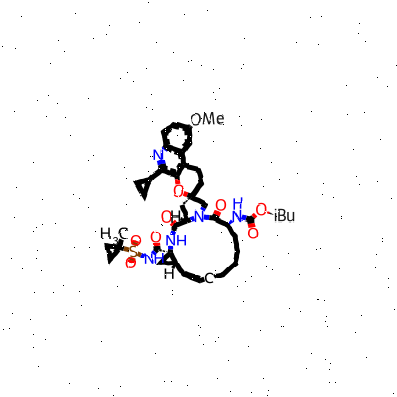 CC[C@@H](C)OC(=O)N[C@H]1CCCCC/C=C\[C@@H]2C[C@@]2(C(=O)NS(=O)(=O)C2(C)CC2)NC(=O)[C@@H]2C[C@]3(CCc4c(c(C5CC5)nc5ccc(OC)cc45)O3)CN2C1=O